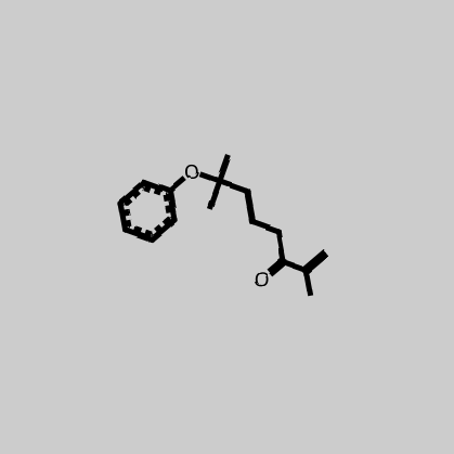 C=C(C)C(=O)CCCC(C)(C)Oc1ccccc1